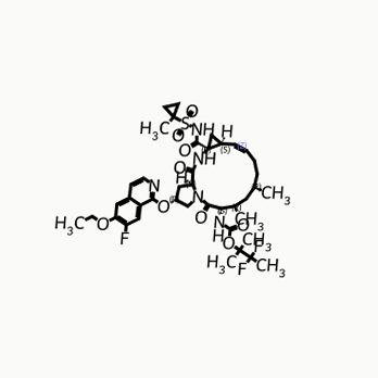 CCOc1cc2ccnc(O[C@@H]3C[C@H]4C(=O)N[C@]5(C(=O)NS(=O)(=O)C6(C)CC6)C[C@H]5/C=C\CC[C@@H](C)C[C@@H](C)[C@H](NC(=O)OC(C)(C)C(C)(F)F)C(=O)N4C3)c2cc1F